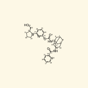 O=C(NC12CC3CC(C1)CC(NC(=O)c1ccccn1)(C3)C2)Oc1cccc(N2CCC[C@H]2CO)n1